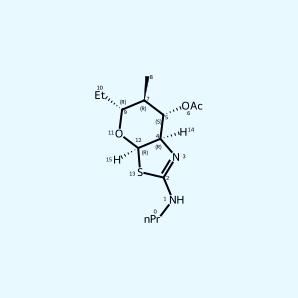 CCCNC1=N[C@@H]2[C@@H](OC(C)=O)[C@H](C)[C@@H](CC)O[C@@H]2S1